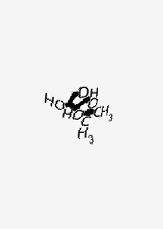 CC1(C)O[C@H]2OCC(O)[C@H]2O1